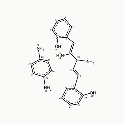 NC(=Cc1ccccc1O)C(N)C=Cc1ccccc1O.Nc1ccc(N)cc1